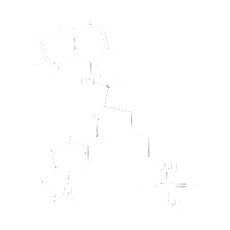 NS(=O)(=O)NCCCCC(NC(=O)c1ccc2cc[nH]c2c1)C(=O)Nc1cccc2cccnc12